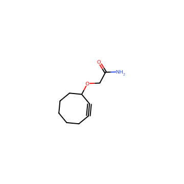 NC(=O)COC1C#CCCCCC1